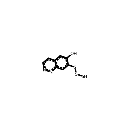 Oc1cc2ccnnc2cc1SSS